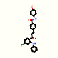 O=C(NC1CCC(O)CC1)c1ccc(C=CC(=O)c2ccc(Cl)cc2Nc2ccccc2)cc1